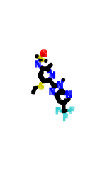 CCSc1cc(N=S(C)(C)=O)c(C)nc1-c1nc2cc(C(F)(F)F)cnc2n1C